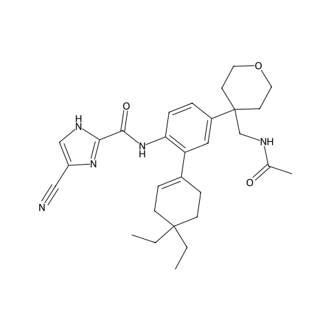 CCC1(CC)CC=C(c2cc(C3(CNC(C)=O)CCOCC3)ccc2NC(=O)c2nc(C#N)c[nH]2)CC1